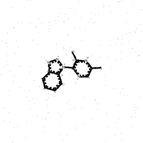 Cc1cnc(-n2nnc3ccccc32)c(C)n1